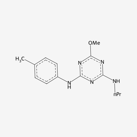 CCCNc1nc(Nc2ccc(C)cc2)nc(OC)n1